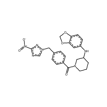 O=C(c1ccc(Cn2cnc([N+](=O)[O-])n2)cc1)N1CCCC(Nc2ccc3c(c2)OCO3)C1